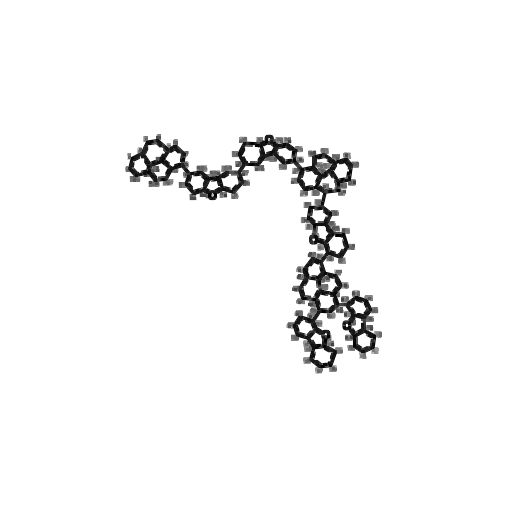 c1cc2ccc3ccc(-c4ccc5oc6ccc(-c7ccc8oc9ccc(-c%10ccc%11c(-c%12ccc%13oc%14c(-c%15ccc%16ccc%17c(-c%18cccc%19c%18oc%18ccccc%18%19)cc(-c%18cccc%19c%18oc%18ccccc%18%19)c%18ccc%15c%16c%17%18)cccc%14c%13c%12)cc%12cccc%13ccc%10c%11c%13%12)cc9c8c7)cc6c5c4)c4ccc(c1)c2c34